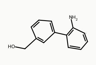 Nc1[c]cccc1-c1cccc(CO)c1